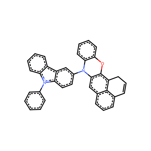 C1=Cc2cccc3cc4c(c(c23)C1)Oc1ccccc1N4c1ccc2c(c1)c1ccccc1n2-c1ccccc1